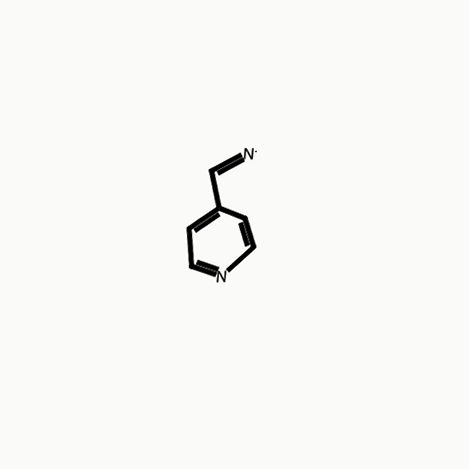 [N]=Cc1ccncc1